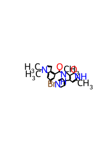 Cc1cc(-c2ccncc2)c(C(C)NC(=O)c2cc(Br)cc3c2ccn3C(C)C)c(=O)[nH]1